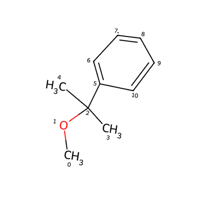 COC(C)(C)c1c[c]ccc1